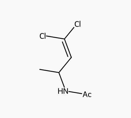 CC(=O)NC(C)C=C(Cl)Cl